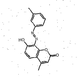 Cc1cccc(N=Nc2c(O)ccc3c(C)cc(=O)oc23)c1